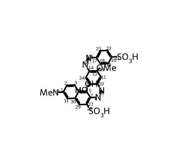 CNc1ccc2c(O)c(/N=N\c3cc(OC)c(/N=N\c4ccc(S(=O)(=O)O)cc4)cc3O)c(S(=O)(=O)O)cc2c1